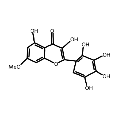 COc1cc(O)c2c(=O)c(O)c(-c3cc(O)c(O)c(O)c3O)oc2c1